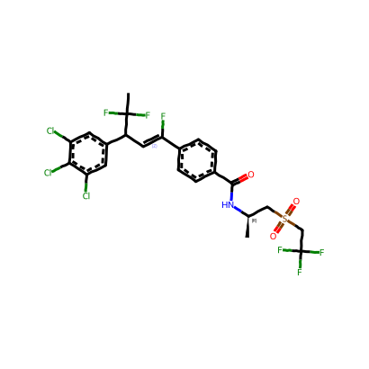 C[C@H](CS(=O)(=O)CC(F)(F)F)NC(=O)c1ccc(/C(F)=C/C(c2cc(Cl)c(Cl)c(Cl)c2)C(C)(F)F)cc1